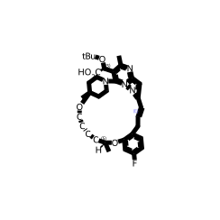 Cc1nc2cc3nn2c(c1[C@H](OC(C)(C)C)C(=O)O)N1CCC(C)(CC1)OCCCC[C@H](C)Oc1cc(F)ccc1C/C=C/3